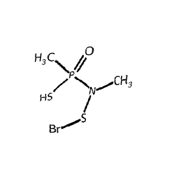 CN(SBr)P(C)(=O)S